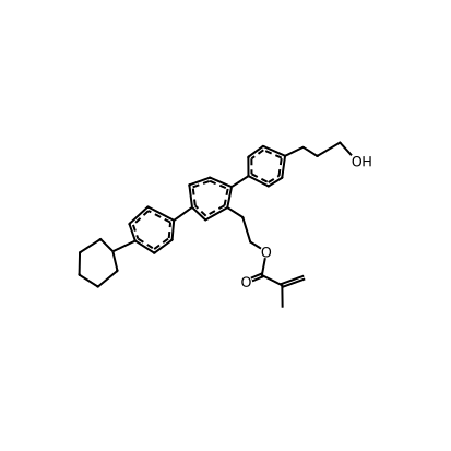 C=C(C)C(=O)OCCc1cc(-c2ccc(C3CCCCC3)cc2)ccc1-c1ccc(CCCO)cc1